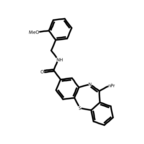 CCCC1=Nc2cc(C(=O)NCc3ccccc3OC)ccc2Sc2ccccc21